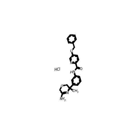 CC1(c2cccc(NC(=O)c3ccc(OCc4ccccc4)cn3)c2)COCC(N)=N1.Cl